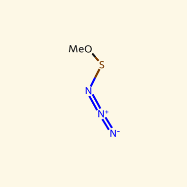 COSN=[N+]=[N-]